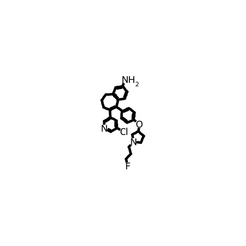 Nc1ccc2c(c1)CCCC(c1cncc(Cl)c1)=C2c1ccc(OC2CCN(CCCF)C2)cc1